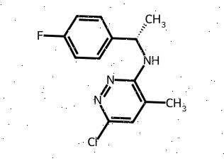 Cc1cc(Cl)nnc1N[C@@H](C)c1ccc(F)cc1